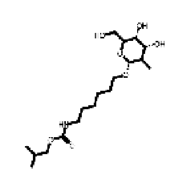 CC(C)COC(=O)NCCCCCCO[C@@H]1OC(CO)[C@H](O)[C@H](O)C1C